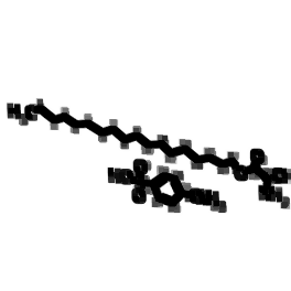 CCCCCCCCCCCCCCCCCCOC(=O)[C@H](C)N.Cc1ccc(S(=O)(=O)O)cc1.N